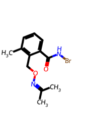 CC(C)=NOCc1c(C)cccc1C(=O)NBr